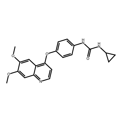 COc1cc2nccc(Oc3ccc(NC(=O)NC4CC4)cc3)c2cc1OC